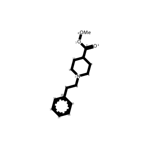 COOC(=O)C1CCN(CCc2ccccc2)CC1